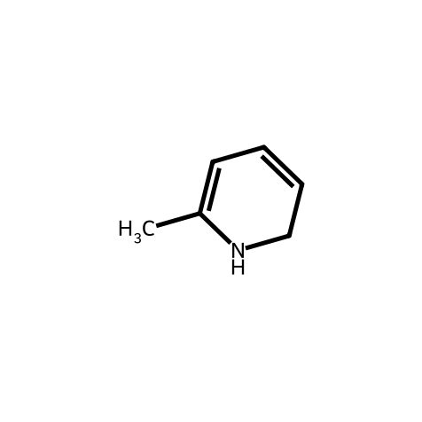 CC1=CC=CCN1